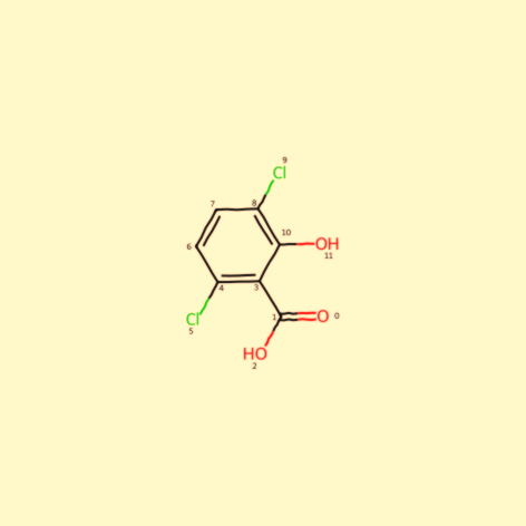 O=C(O)c1c(Cl)ccc(Cl)c1O